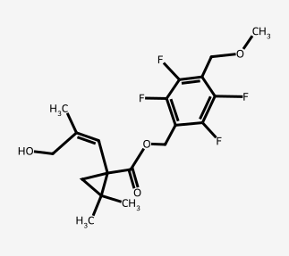 COCc1c(F)c(F)c(COC(=O)C2(C=C(C)CO)CC2(C)C)c(F)c1F